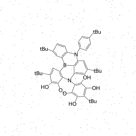 CC(C)(C)c1ccc(N2c3ccc(C(C)(C)C)cc3B3c4c2cc(C(C)(C)C)cc4-n2c4c3cc(C(C)(C)C)c(O)c4ooc3c(O)c(C(C)(C)C)c(O)c(O)c32)cc1